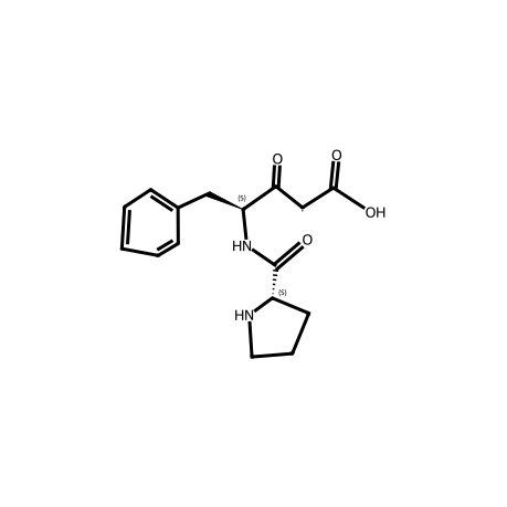 O=C(O)[CH]C(=O)[C@H](Cc1ccccc1)NC(=O)[C@@H]1CCCN1